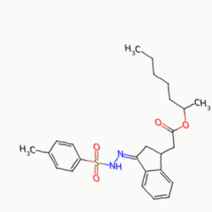 CCCCCC(C)OC(=O)CC1C/C(=N/NS(=O)(=O)c2ccc(C)cc2)c2ccccc21